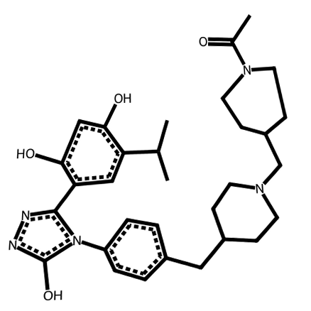 CC(=O)N1CCC(CN2CCC(Cc3ccc(-n4c(O)nnc4-c4cc(C(C)C)c(O)cc4O)cc3)CC2)CC1